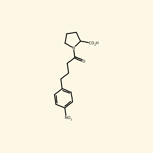 O=C(O)C1CCCN1C(=O)CCCc1ccc([N+](=O)[O-])cc1